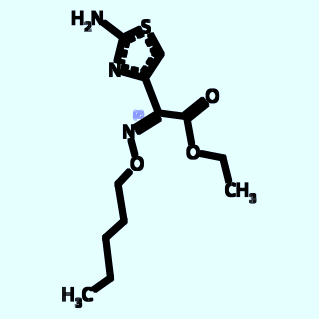 CCCCCO/N=C(\C(=O)OCC)c1csc(N)n1